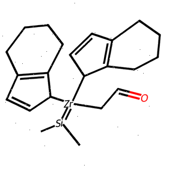 C[Si](C)=[Zr]([CH2]C=O)([CH]1C=CC2=C1CCCC2)[CH]1C=CC2=C1CCCC2